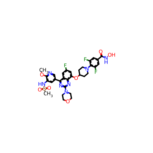 COc1ncc(-c2nc(N3CCOCC3)nc3c(OC4CCN(c5c(F)cc(C(=O)NO)cc5F)CC4)cc(F)cc23)cc1NS(C)(=O)=O